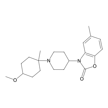 COC1CCC(C)(N2CCC(n3c(=O)oc4ccc(C)cc43)CC2)CC1